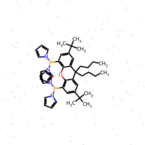 CCCCC1(CCCC)c2cc(C(C)(C)C)cc(P(n3cccc3)n3cccc3)c2Oc2c(P(n3cccc3)n3cccc3)cc(C(C)(C)C)cc21